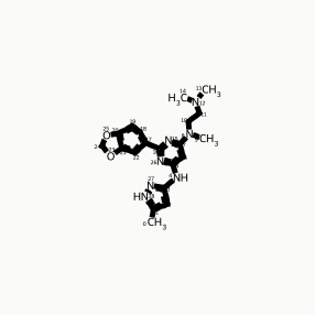 Cc1cc(Nc2cc(N(C)CCN(C)C)nc(-c3ccc4c(c3)OCO4)n2)n[nH]1